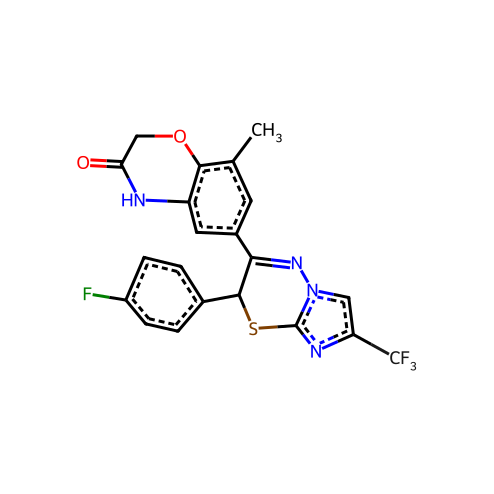 Cc1cc(C2=Nn3cc(C(F)(F)F)nc3SC2c2ccc(F)cc2)cc2c1OCC(=O)N2